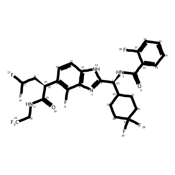 O=C(N[C@H](c1nc2c(F)c([C@H](CC(F)F)C(=O)NCC(F)(F)F)ccc2[nH]1)C1CCC(F)(F)CC1)c1ccccc1F